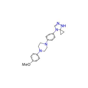 COc1ccc(N2CCN(c3ccc(N4C=NNC45CC5)cc3)CC2)cc1